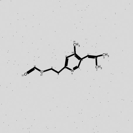 CC(C)=Cc1cnc(CCOC=O)cc1C